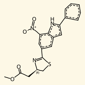 COC(=O)C[C@@H]1CSC(c2cc([N+](=O)[O-])c3[nH]c(-c4ccccc4)cc3c2)=N1